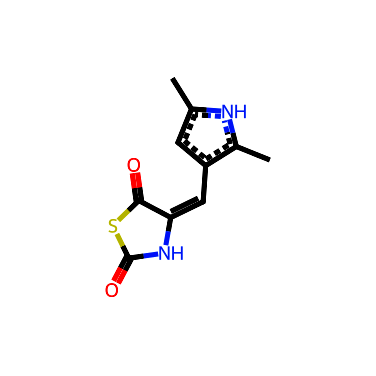 Cc1cc(C=C2NC(=O)SC2=O)c(C)[nH]1